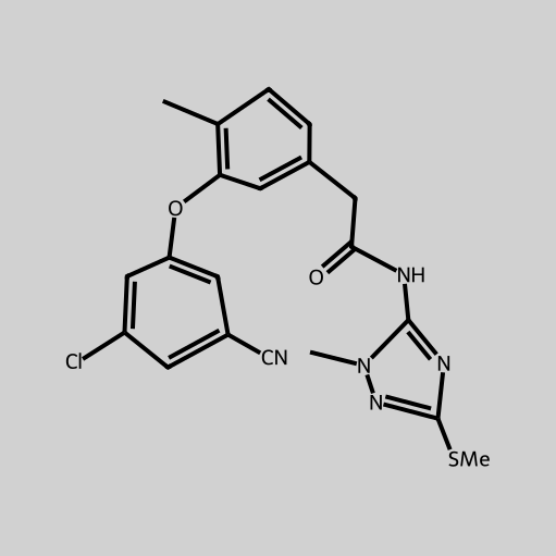 CSc1nc(NC(=O)Cc2ccc(C)c(Oc3cc(Cl)cc(C#N)c3)c2)n(C)n1